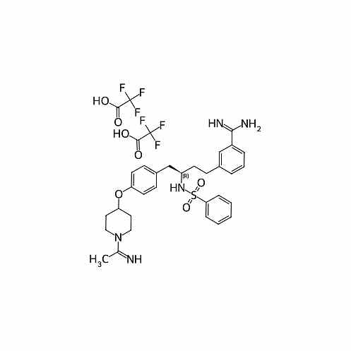 CC(=N)N1CCC(Oc2ccc(C[C@@H](CCc3cccc(C(=N)N)c3)NS(=O)(=O)c3ccccc3)cc2)CC1.O=C(O)C(F)(F)F.O=C(O)C(F)(F)F